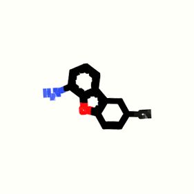 N#CC1C=Cc2oc3c(N)cccc3c2C1